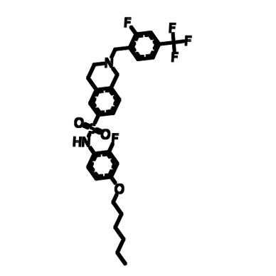 CCCCCCOc1ccc(NS(=O)(=O)c2ccc3c(c2)CCN(Cc2ccc(C(F)(F)F)cc2F)C3)c(F)c1